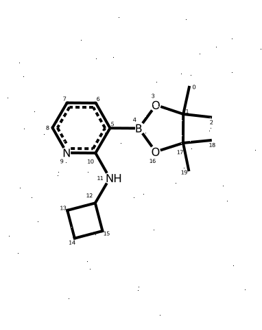 CC1(C)OB(c2cccnc2NC2CCC2)OC1(C)C